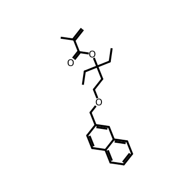 C=C(C)C(=O)OC(CC)(CC)CCOCc1ccc2ccccc2c1